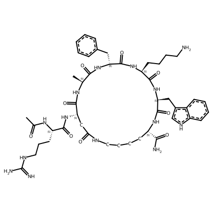 CC(=O)N[C@@H](CCCNC(=N)N)C(=O)N[C@H]1CC(=O)NCCCC[C@@H](C(N)=O)NC(=O)[C@H](Cc2c[nH]c3ccccc23)NC(=O)[C@H](CCCCN)NC(=O)[C@@H](Cc2ccccc2)NC(=O)[C@H](C)NC1=O